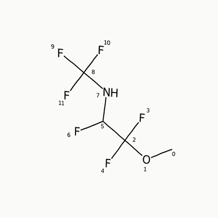 COC(F)(F)C(F)NC(F)(F)F